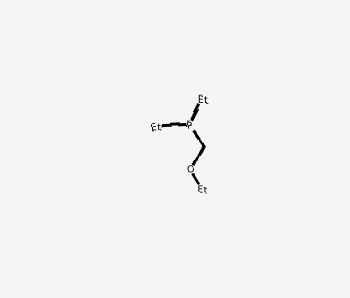 CCOCP(CC)CC